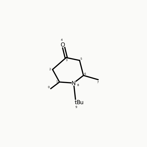 CC1CC(=O)CC(C)N1C(C)(C)C